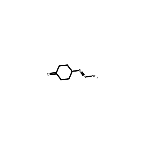 NN=NC1CCC(=O)CC1